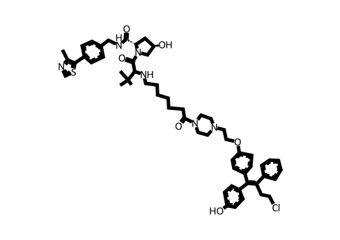 Cc1ncsc1-c1ccc(CNC(=O)[C@@H]2C[C@@H](O)CN2C(=O)C(NCCCCCCC(=O)N2CCN(CCOc3ccc(C(=C(CCCl)c4ccccc4)c4ccc(O)cc4)cc3)CC2)C(C)(C)C)cc1